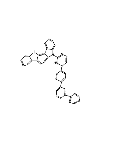 C1=CC(c2ccc(-c3cccc(-c4ccccc4)c3)cc2)NC(n2c3ccccc3c3c4sc5ccccc5c4ccc32)=N1